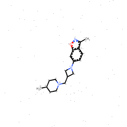 Cc1noc2cc(N3CC(CN4CCC(C)CC4)C3)ccc12